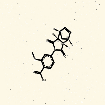 COc1cc(N2C(=O)[C@@H]3[C@H](C2=O)[C@@H]2C=C[C@H]3C2)ccc1C(=O)O